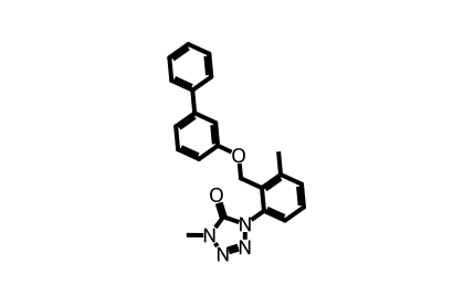 Cc1cccc(-n2nnn(C)c2=O)c1COc1cccc(-c2ccccc2)c1